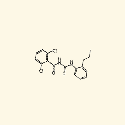 CCCc1ccccc1NC(=O)NC(=O)c1c(Cl)cccc1Cl